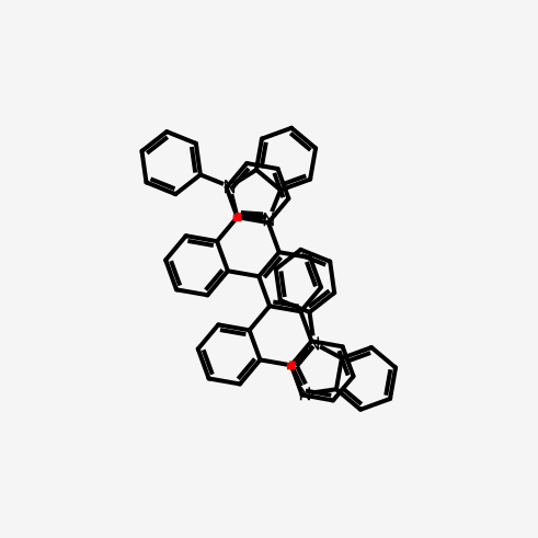 c1ccc(-c2ccc(-c3ccccc3)c(-c3ccccc3-c3nc4ccccc4n3-c3ccccc3)c2-c2ccccc2-c2nc3ccccc3n2-c2ccccc2)cc1